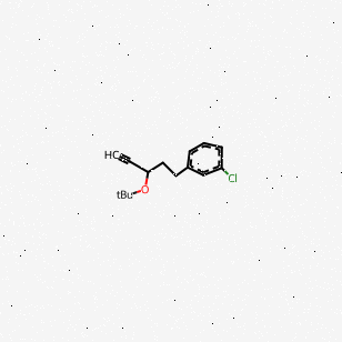 C#CC(CCc1cccc(Cl)c1)OC(C)(C)C